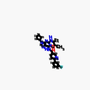 CCC(Nc1nc(NCc2ccc(-c3cccc(F)c3)nc2)c2ncn(C3CCCC3)c2n1)[C@@H](C)O